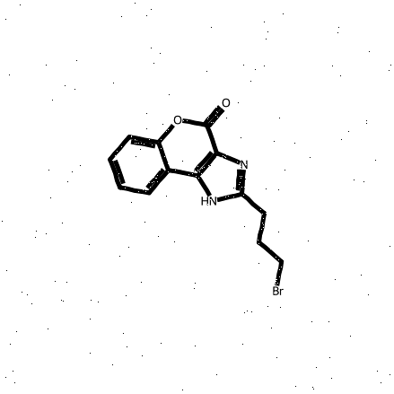 O=c1oc2ccccc2c2[nH]c(CCCBr)nc12